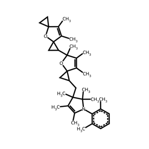 CC1=C(C)C(C)(CC2CC23OC(C)(C2CC24OC2(CC2)C(C)=C4C)C(C)=C3C)C(C)(C)N1c1c(C)cccc1C